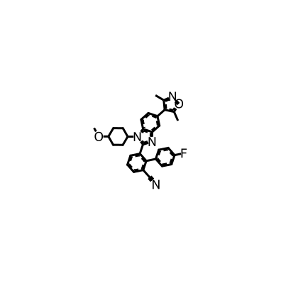 COC1CCC(n2c(-c3cccc(C#N)c3-c3ccc(F)cc3)nc3cc(-c4c(C)noc4C)ccc32)CC1